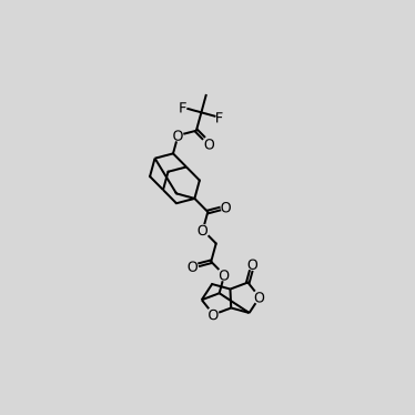 CC(F)(F)C(=O)OC1C2CC3CC1CC(C(=O)OCC(=O)OC1C4CC5C(=O)OC1C5O4)(C3)C2